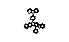 c1ccc2cc3c(cc2c1)c1c2c4ccccc4n4c5ccccc5c(cc1n3-c1ccc(-n3c5ccccc5c5cccnc53)cn1)c24